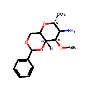 CCCCO[C@@H]1C(N)[C@@H](OC)OC2COC(c3ccccc3)O[C@H]21